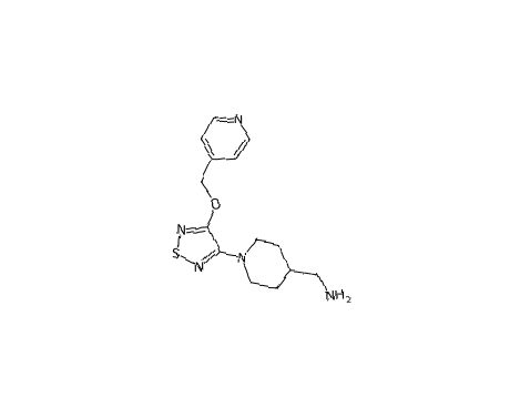 NCC1CCN(c2nsnc2OCc2ccncc2)CC1